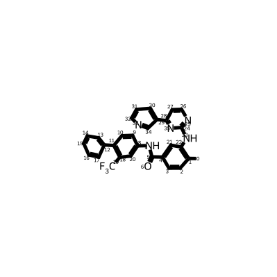 Cc1ccc(C(=O)Nc2ccc(-c3ccccc3)c(C(F)(F)F)c2)cc1Nc1nccc(-c2cccnc2)n1